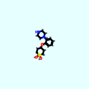 O=S1(=O)CCC(Oc2ccccc2N2CCNCC2)CC1